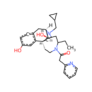 CCC1C[C@@]2(O)[C@H]3Cc4ccc(O)cc4[C@]2(CCN1C(=O)Cc1ccccn1)CCN3CC1CC1